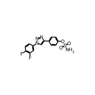 NS(=O)(=O)Oc1ccc(-c2cn(-c3ccc(F)c(F)c3)nn2)cc1